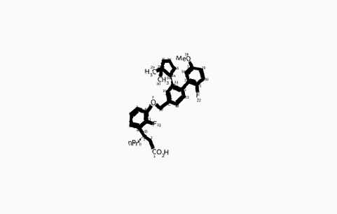 CCC[C@@H](CC(=O)O)c1cccc(OCc2ccc(-c3cc(OC)ccc3F)c([C@@H]3CCCC3(C)C)c2)c1F